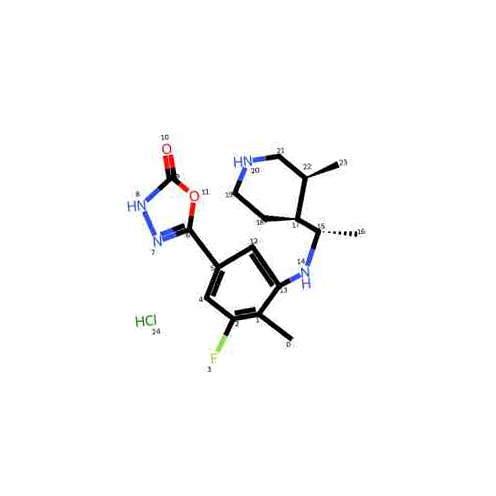 Cc1c(F)cc(-c2n[nH]c(=O)o2)cc1N[C@@H](C)[C@H]1CCNC[C@H]1C.Cl